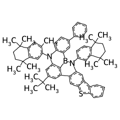 Cc1cc2c(cc1N1c3ccc(-c4ccccc4)cc3B3c4c(cc(C(C)(C)C)cc41)-c1cc4sc5ccccc5c4cc1N3c1ccc3c(c1)C(C)(C)CCC3(C)C)C(C)(C)CCC2(C)C